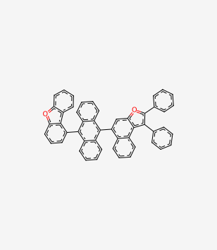 c1ccc(-c2oc3cc(-c4c5ccccc5c(-c5cccc6oc7ccccc7c56)c5ccccc45)c4ccccc4c3c2-c2ccccc2)cc1